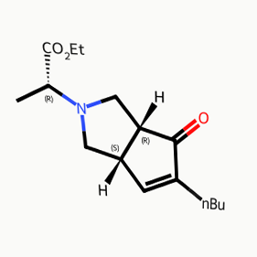 CCCCC1=C[C@@H]2CN([C@H](C)C(=O)OCC)C[C@@H]2C1=O